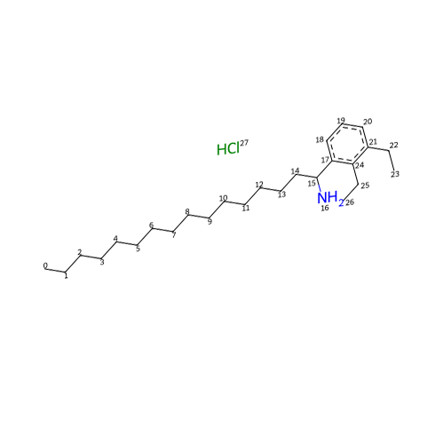 CCCCCCCCCCCCCCCC(N)c1cccc(CC)c1CC.Cl